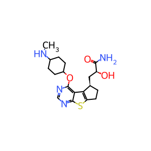 CNC1CCC(Oc2ncnc3sc4c(c23)[C@@H](C[C@H](O)C(N)=O)CC4)CC1